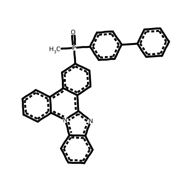 CP(=O)(c1ccc(-c2ccccc2)cc1)c1ccc2c(c1)c1ccccc1n1c3ccccc3nc21